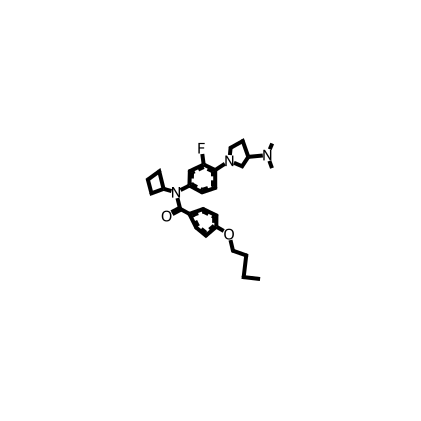 CCCCOc1ccc(C(=O)N(c2ccc(N3CCC(N(C)C)C3)c(F)c2)C2CCC2)cc1